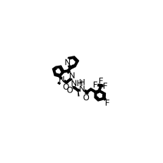 C[C@H](NC(=O)Cc1ccc(F)cc1C(F)(F)F)C(=O)NC1N=C(c2ccccn2)c2ccccc2N(C)C1=O